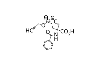 C#CCOC(=O)CCC(C=C=C)(NC(=O)c1ccccc1)C(=O)O